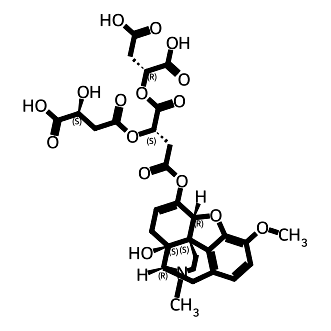 COc1ccc2c3c1O[C@H]1C(OC(=O)C[C@H](OC(=O)C[C@H](O)C(=O)O)C(=O)O[C@H](CC(=O)O)C(=O)O)=CC[C@@]4(O)[C@@H](C2)N(C)CC[C@]314